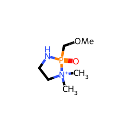 COCP1(=O)NCC[N+]1(C)C